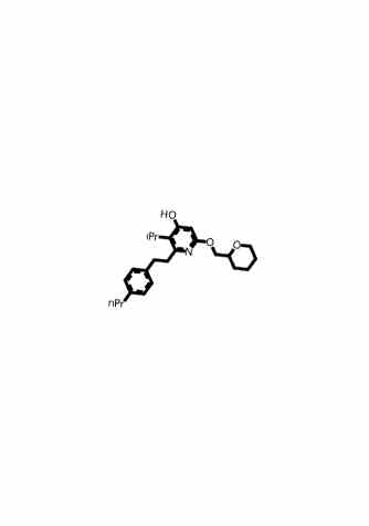 CCCc1ccc(CCc2nc(OCC3CCCCO3)cc(O)c2C(C)C)cc1